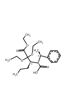 CCC[C@H](N(C(=O)O)[C@@H](C)c1ccccc1)C(OCC)(OCC)C(=O)OCC